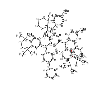 Cc1cc2c(cc1N1c3ccc(-c4ccccc4)cc3B3c4cc5c(cc4N(c4ccc(C(C)(C)C)cc4-c4ccccc4)c4cc(N6c7ccc(C(C)(C)C)cc7C7(C)CCCCC67C)cc1c43)C(C)(C)CC5(C)C)C(C)(C)CCC2(C)C